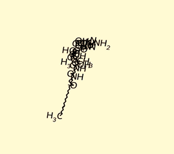 CCCCC=CCCCCCCCCCC(=O)SCCNC(=O)CCNC(=O)C(O)C(C)(C)COP(=O)(O)OP(=O)(O)OC[C@H]1O[C@@H](n2cnc3c(N)ncnc32)[C@H](O)[C@@H]1OP(=O)(O)O